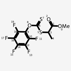 COC(=O)C(C)SC(=S)Oc1c(F)c(F)c(F)c(F)c1F